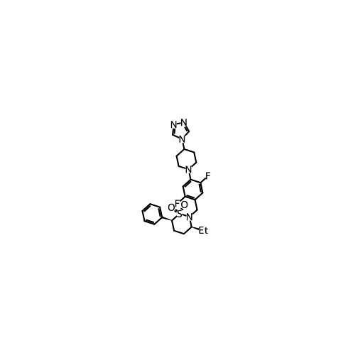 CC[C@H]1CC[C@@H](c2ccccc2)S(=O)(=O)N1Cc1cc(F)c(N2CCC(n3cnnc3)CC2)cc1F